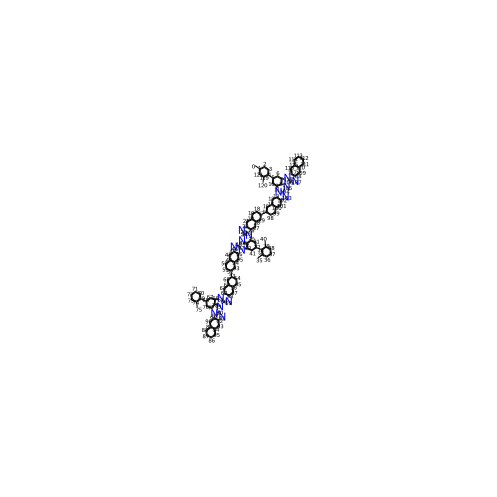 Cc1ccc(-c2cc3c4c(c2)n2c5cc6cc(-c7ccc8cc9nc%10n(c9cc8c7)c7cc(-c8c(C)cccc8C)cc8c7n%10c7nc9cc%10ccc(-c%11ccc%12cc%13nc%14n(c%13cc%12c%11)c%11cc(-c%12ccccc%12C)cc%12c%11n%14c%11nc%13cc%14ccccc%14cc%13n%12%11)cc%10cc9n87)ccc6cc5nc2n4c2nc4cc5ccccc5cc4n32)c(C)c1